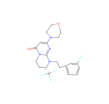 O=c1cc(N2CCOCC2)nc2n1CC[C@@H](C(F)(F)F)N2CCc1cccc(F)c1